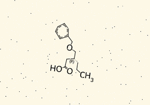 CCC[C@@H](COCc1ccccc1)CC(=O)O